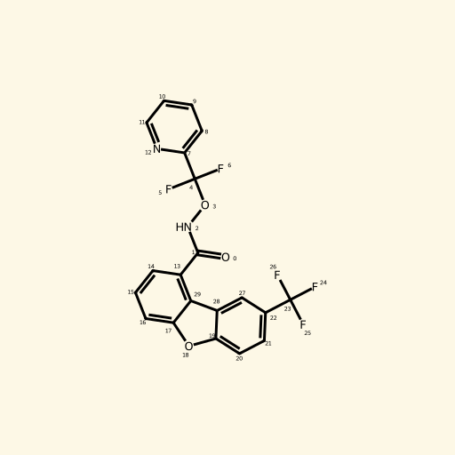 O=C(NOC(F)(F)c1ccccn1)c1cccc2oc3ccc(C(F)(F)F)cc3c12